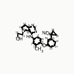 Cc1cc(Nc2ncnc3ccn(CCO)c23)ccc1Oc1cccc(C2(C#N)CC2)c1